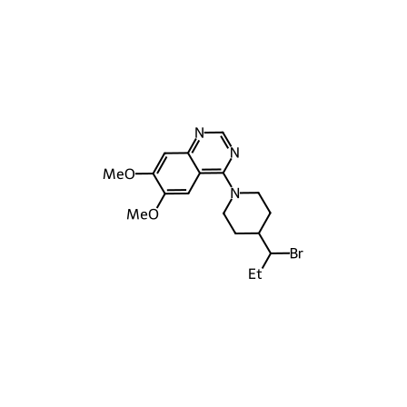 CCC(Br)C1CCN(c2ncnc3cc(OC)c(OC)cc23)CC1